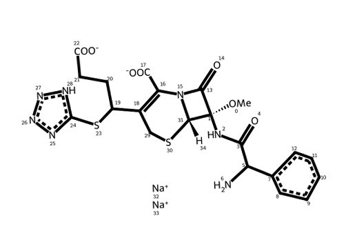 CO[C@@]1(NC(=O)C(N)c2ccccc2)C(=O)N2C(C(=O)[O-])=C(C(CCC(=O)[O-])Sc3nnn[nH]3)CS[C@H]21.[Na+].[Na+]